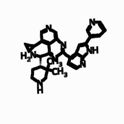 CC1(C)CNCC[C@@H]1C(N)c1nc(-c2ccnc3[nH]c(-c4cccnc4)cc23)nc2cncc(C3CC3)c12